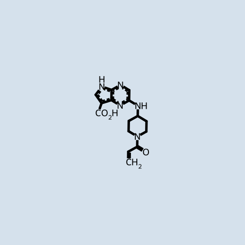 C=CC(=O)N1CCC(Nc2cnc3[nH]cc(C(=O)O)c3n2)CC1